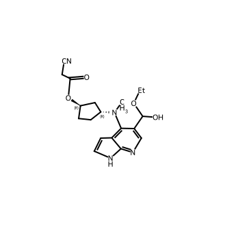 CCOC(O)c1cnc2[nH]ccc2c1N(C)[C@@H]1CC[C@@H](OC(=O)CC#N)C1